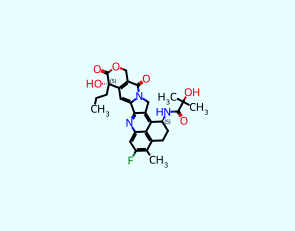 CCC[C@@]1(O)C(=O)OCc2c1cc1n(c2=O)Cc2c-1nc1cc(F)c(C)c3c1c2[C@@H](NC(=O)C(C)(C)O)CC3